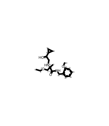 CCOCC(C)(NCC(O)C1CC1)C(=O)NCc1ccccc1OC